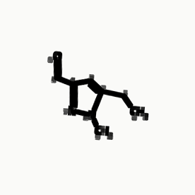 CCc1cc(C=O)nn1C